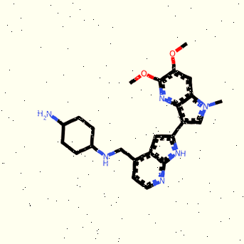 COc1cc2c(nc1OC)c(-c1cc3c(CNC4CCC(N)CC4)ccnc3[nH]1)cn2C